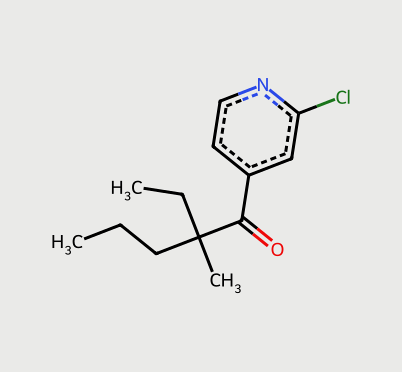 CCCC(C)(CC)C(=O)c1ccnc(Cl)c1